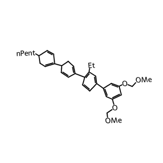 CCCCCC1C=CC(C2C=CC(c3ccc(-c4cc(OCOC)cc(OCOC)c4)cc3CC)=CC2)=CC1